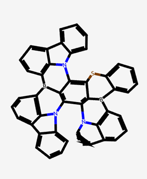 c1ccc2c(c1)Sc1c3c(c4c5c1-n1c6ccccc6c6cccc(c61)B5c1cccc5c6ccccc6n-4c15)-n1c4ccccc4c4cccc(c41)B23